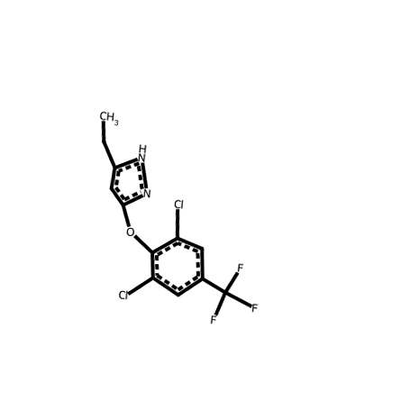 CCc1cc(Oc2c(Cl)cc(C(F)(F)F)cc2Cl)n[nH]1